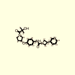 CC(C)(O)C(=O)N1CC[C@@H](Oc2ccc(NC(=O)N3CC(c4cccnc4)C3)cc2)C1